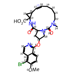 COc1ccc2c(OC3CC4C(=O)NC5(C(=O)O)CC5/C=C\CCCCN(C)C(=O)N4C3)nccc2c1Br